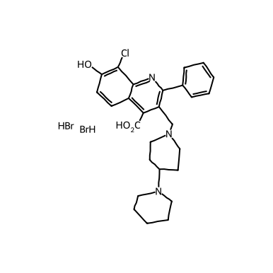 Br.Br.O=C(O)c1c(CN2CCC(N3CCCCC3)CC2)c(-c2ccccc2)nc2c(Cl)c(O)ccc12